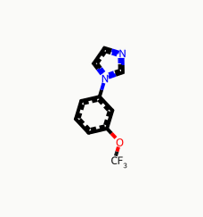 FC(F)(F)Oc1cccc(-n2ccnc2)c1